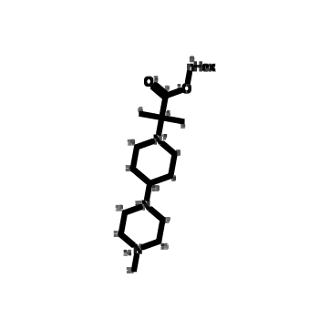 CCCCCCOC(=O)C(C)(C)N1CCC(N2CCN(C)CC2)CC1